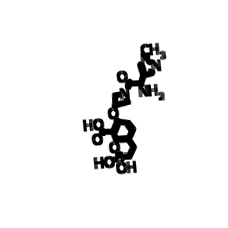 Cn1cc(C(N)C(=O)N2CC(Oc3ccc4c(c3C(=O)O)O[B-](O)(O)CC4)C2)cn1